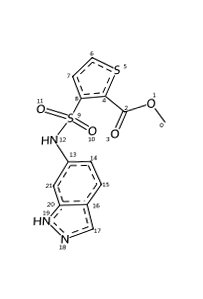 COC(=O)c1sccc1S(=O)(=O)Nc1ccc2cn[nH]c2c1